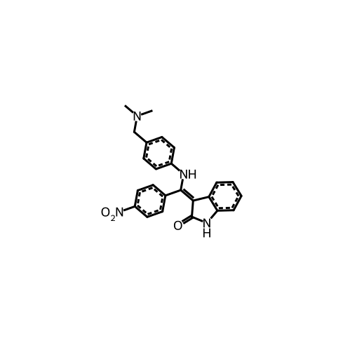 CN(C)Cc1ccc(NC(=C2C(=O)Nc3ccccc32)c2ccc([N+](=O)[O-])cc2)cc1